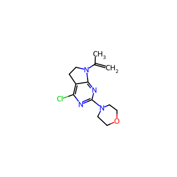 C=C(C)N1CCc2c(Cl)nc(N3CCOCC3)nc21